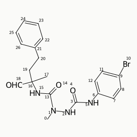 CN(NC(=O)Nc1ccc(Br)cc1)C(=O)NC(C)(C=O)CCc1ccccc1